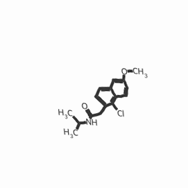 COc1ccc2c(Cl)c(CC(=O)NC(C)C)ccc2c1